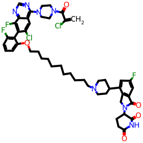 C=C(Cl)C(=O)N1CCN(c2ncnc3c(F)c(-c4c(F)cccc4OCCCCCCCCCCCN4CCC(c5cc(F)cc6c5CN(C5CCC(=O)NC5=O)C6=O)CC4)c(Cl)cc23)CC1